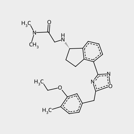 CCOc1cc(Cc2nc(-c3cccc4c3CC[C@@H]4NCC(=O)N(C)C)no2)ccc1C